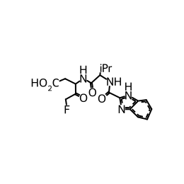 CC(C)C(NC(=O)c1nc2ccccc2[nH]1)C(=O)NC(CC(=O)O)C(=O)CF